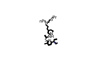 C=C/C(=C\C)c1ccc(C)c(SC(=C)NC2=NCCC(CCCN(CCC)CCSC(C)C)=C2)n1